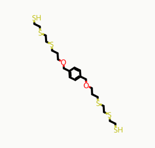 SCCSCCSCCCOCc1ccc(COCCCSCCSCCS)cc1